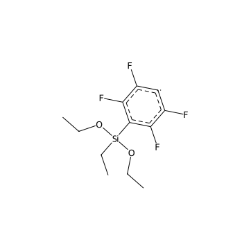 CCO[Si](CC)(OCC)c1c(F)c(F)[c]c(F)c1F